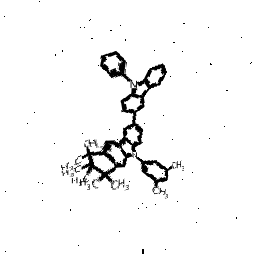 Cc1cc(C)cc(-n2c3ccc(-c4ccc5c(c4)c4ccccc4n5-c4ccccc4)cc3c3cc4c(cc32)C(C)(C)C(C)(C)C4(C)C)c1